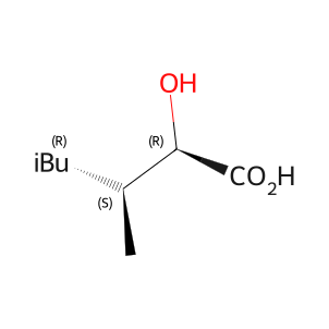 CC[C@@H](C)[C@H](C)[C@@H](O)C(=O)O